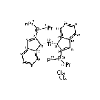 CCCP(CCC)C1=Cc2ccccc2[CH]1[Ti+2][CH]1C(P(C(C)C)C(C)C)=Cc2ccccc21.[Cl-].[Cl-]